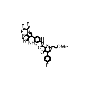 COCCn1cc(-c2ccc(F)cc2)c(=O)c(C(=O)Nc2ccc(-c3cn(C(CF)C(F)F)c4ncnc(N)c34)cc2)n1